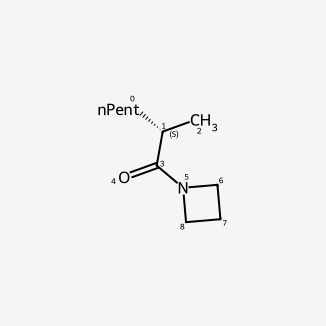 CCCCC[C@H](C)C(=O)N1CCC1